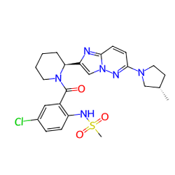 C[C@H]1CCN(c2ccc3nc([C@@H]4CCCCN4C(=O)c4cc(Cl)ccc4NS(C)(=O)=O)cn3n2)C1